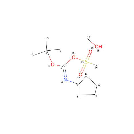 CC(C)(C)OC(=NC1CCCC1)OS(C)(=O)=O.CO